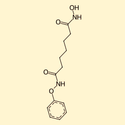 O=C(CCCCCC(=O)NOc1ccccc1)NO